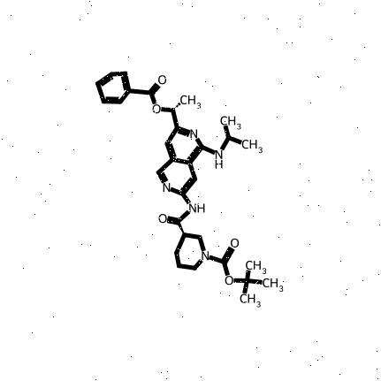 CC(C)Nc1nc([C@@H](C)OC(=O)c2ccccc2)cc2cnc(NC(=O)[C@@H]3CCCN(C(=O)OC(C)(C)C)C3)cc12